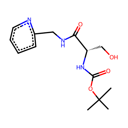 CC(C)(C)OC(=O)N[C@@H](CO)C(=O)NCc1ccccn1